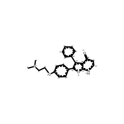 CN(C)CCOc1ccc(-c2oc3[nH]ccc(=O)c3c2-c2ccccc2)cc1